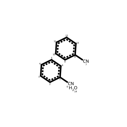 N#Cc1ccccc1.N#Cc1ccccc1.O